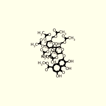 COC(=O)c1cc(O)c(=O)c2c(O)c(O)c(O[C@@H]3O[C@H](COC(C)=O)[C@](O)([C@]4(C)O[C@H](COC(C)=O)[C@@H](OC(C)=O)[C@H](OC(C)=O)[C@H]4OC(C)=O)[C@H](OC(C)=O)[C@H]3OC(C)=O)cc2c1